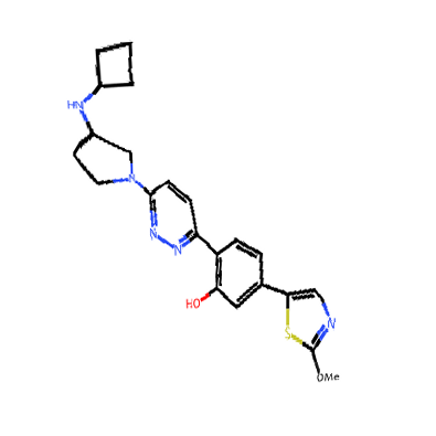 COc1ncc(-c2ccc(-c3ccc(N4CCC(NC5CCC5)C4)nn3)c(O)c2)s1